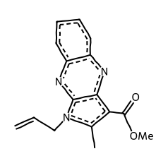 C=CCn1c(C)c(C(=O)OC)c2nc3ccccc3nc21